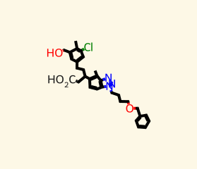 Cc1c(Cl)cc(CCC(CC(=O)O)c2ccc3c(nnn3CCCCOCc3ccccc3)c2C)cc1CO